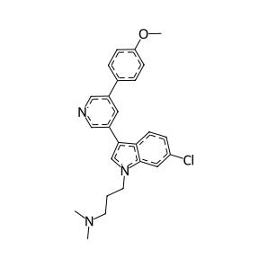 COc1ccc(-c2cncc(-c3cn(CCCN(C)C)c4cc(Cl)ccc34)c2)cc1